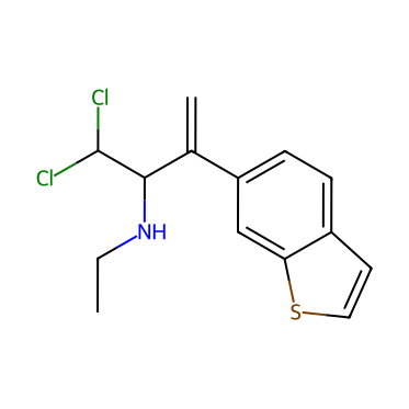 C=C(c1ccc2ccsc2c1)C(NCC)C(Cl)Cl